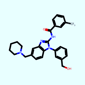 O=C(Nc1nc2cc(CN3CCCCC3)ccc2n1-c1cccc(CO)c1)c1cccc(C(F)(F)F)c1